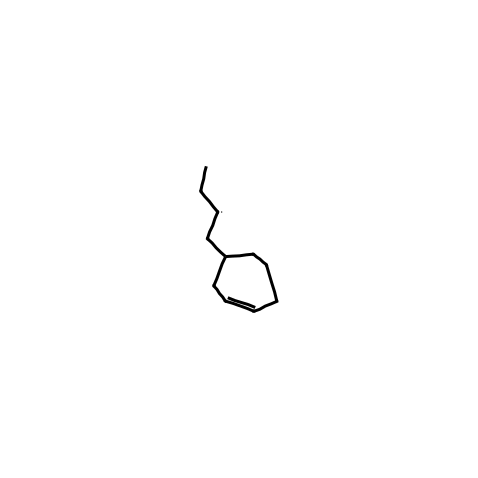 CC[CH]CC1CC=CCCC1